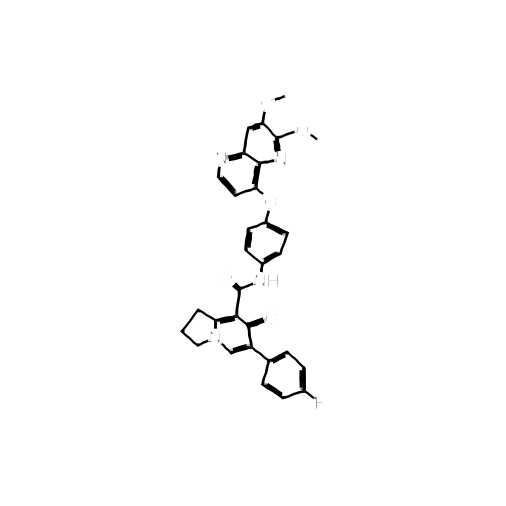 COc1cc2nccc(Oc3ccc(NC(=O)c4c5n(cc(-c6ccc(F)cc6)c4=O)CCC5)cc3)c2nc1OC